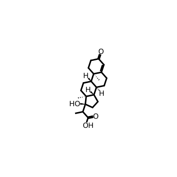 CC(C(=O)O)[C@@]1(O)CC[C@H]2[C@@H]3CCC4=CC(=O)CC[C@]4(C)[C@H]3CC[C@@]21C